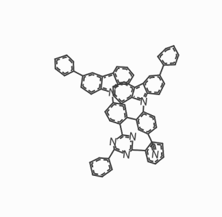 N#Cc1ccc(-n2c3ccccc3c3cc(-c4ccccc4)ccc32)c(-c2cc(-n3c4ccccc4c4cc(-c5ccccc5)ccc43)ccc2-c2nc(-c3ccccc3)nc(-c3ccccc3)n2)c1